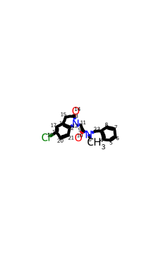 CN(Cc1ccccc1)C(=O)CN1C(=O)Cc2cc(Cl)ccc21